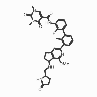 COc1nc(-c2cccc(-c3cccc(NC(=O)c4cn(C)c(=O)n(C)c4=O)c3F)c2C)cc2c1C(NCC1CCC(=O)N1)CC2